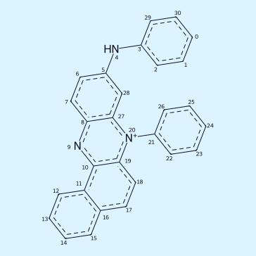 c1ccc(Nc2ccc3nc4c5ccccc5ccc4[n+](-c4ccccc4)c3c2)cc1